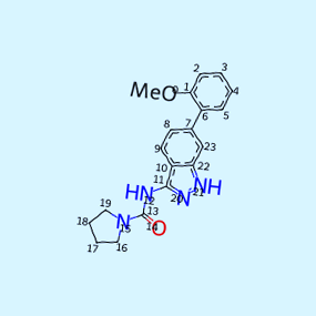 COc1ccccc1-c1ccc2c(NC(=O)N3CCCC3)n[nH]c2c1